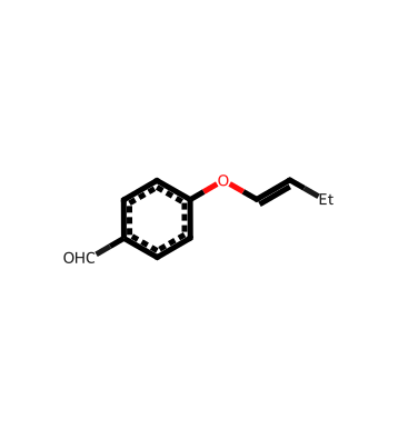 CCC=COc1ccc(C=O)cc1